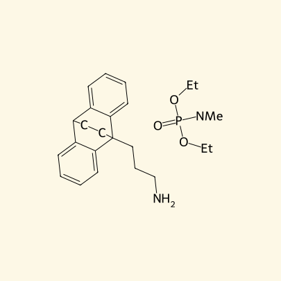 CCOP(=O)(NC)OCC.NCCCC12CCC(c3ccccc31)c1ccccc12